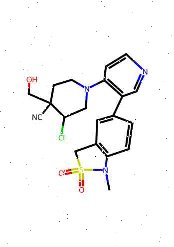 CN1c2ccc(-c3cnccc3N3CCC(C#N)(CO)C(Cl)C3)cc2CS1(=O)=O